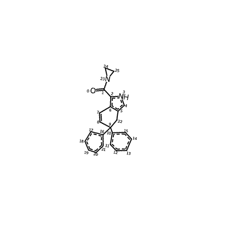 O=C(c1[nH]cc2c1C=CC(c1ccccc1)(c1ccccc1)C2)N1CC1